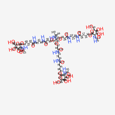 CC(=O)NC1C(O)[C@H](O)C(CO)O[C@H]1OCCCCC(=O)NCCCNC(=O)CCOCC(COCCC(=O)NCCCNC(=O)CCCCO[C@@H]1OC(CO)[C@@H](O)C(O)C1NC(C)=O)(COCCC(=O)NCCCNC(=O)CCCCO[C@@H]1OC(CO)[C@@H](O)C(O)C1NC(C)=O)NC(C)C